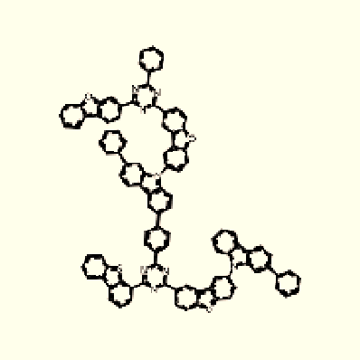 c1ccc(-c2ccc3c4ccccc4n(-c4ccc5oc6ccc(-c7nc(-c8ccc(-c9ccc%10c(c9)c9ccc(-c%11ccccc%11)cc9n%10-c9ccc%10oc%11ccc(-c%12nc(-c%13ccccc%13)nc(-c%13ccc%14c(c%13)oc%13ccccc%13%14)n%12)cc%11c%10c9)cc8)nc(-c8cccc9c8sc8ccccc89)n7)cc6c5c4)c3c2)cc1